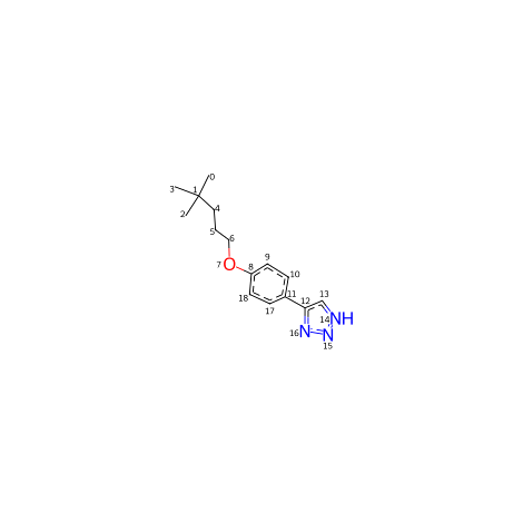 CC(C)(C)CCCOc1ccc(-c2c[nH]nn2)cc1